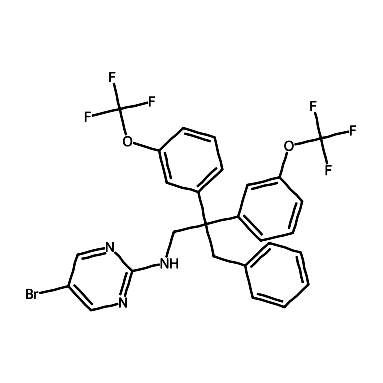 FC(F)(F)Oc1cccc(C(CNc2ncc(Br)cn2)(Cc2ccccc2)c2cccc(OC(F)(F)F)c2)c1